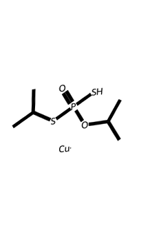 CC(C)OP(=O)(S)SC(C)C.[Cu]